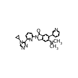 CN(C)c1cc2c(cc1-c1cccnc1)C(=O)N(c1cccc(-c3nncn3C3CC3)n1)C2